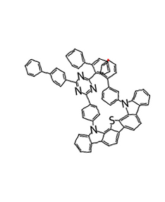 c1ccc(-c2ccc(-c3nc(-c4ccc(-n5c6ccccc6c6ccc7c8ccc9c%10ccccc%10n(-c%10cccc(-c%11ccccc%11)c%10)c9c8sc7c65)cc4)nc(-c4ccccc4-c4ccccc4)n3)cc2)cc1